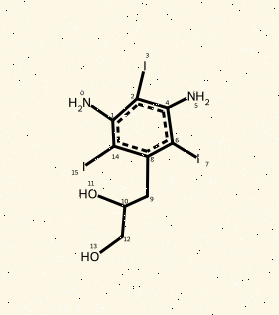 Nc1c(I)c(N)c(I)c(CC(O)CO)c1I